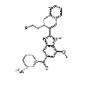 COc1cc(C(=O)N2CCC[C@@H](N)C2)cc2nc(C3=Cc4cccnc4CC3CCF)n(C)c12